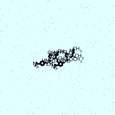 Cc1cc([C@H](C(=O)N2C[C@H](O)C[C@H]2C(=O)NCc2ccc(-c3cncs3)c(CC(C)[C@@H](C(=O)N3C[C@H](O)C[C@H]3C(=O)N[C@@H](C)c3ccc(-c4cncs4)cc3)c3cc(C)no3)c2)C(C)C)on1